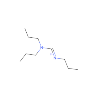 CCC/N=[C]/N(CCC)CCC